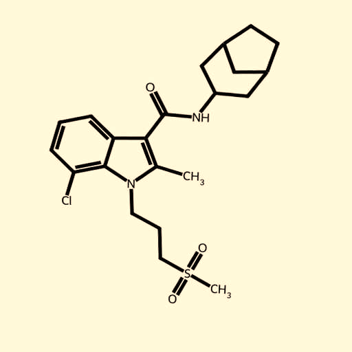 Cc1c(C(=O)NC2CC3CCC(C3)C2)c2cccc(Cl)c2n1CCCS(C)(=O)=O